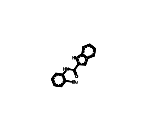 CC(C)(C)c1ccccc1NC(=O)c1cc2ccccc2[nH]1